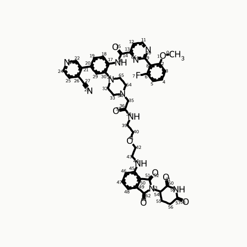 COc1cccc(F)c1-c1nccc(C(=O)Nc2ccc(-c3cnccc3C#N)cc2N2CCN(CC(=O)NCCOCCNc3cccc4c3C(=O)N(C3CCC(=O)NC3=O)C4=O)CC2)n1